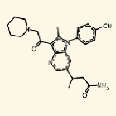 Cc1c(C(=O)CN2CCCCC2)c2ncc(C(C)CC(N)=O)cc2n1-c1ccc(C#N)cc1